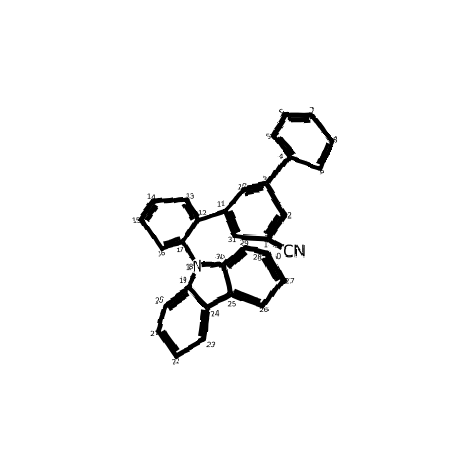 N#Cc1cc(-c2ccccc2)cc(-c2ccccc2-n2c3ccccc3c3ccccc32)c1